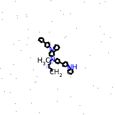 C=C/C=C\C=C(/C)N(c1ccc(-c2ccc(Nc3ccccc3)cc2)cc1)c1ccc2c(c1)c1ccccc1n2-c1ccc(-c2ccccc2)cc1